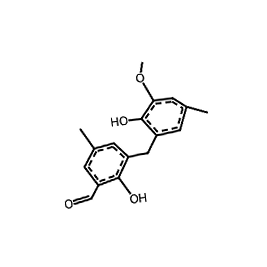 COc1cc(C)cc(Cc2cc(C)cc(C=O)c2O)c1O